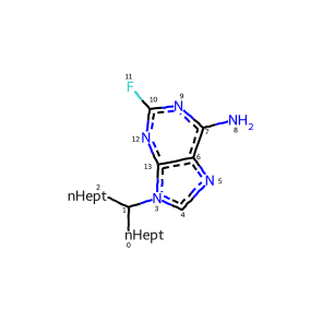 CCCCCCCC(CCCCCCC)n1cnc2c(N)nc(F)nc21